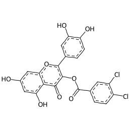 O=C(Oc1c(-c2ccc(O)c(O)c2)oc2cc(O)cc(O)c2c1=O)c1ccc(Cl)c(Cl)c1